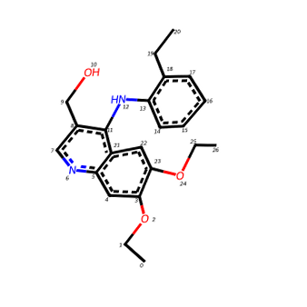 CCOc1cc2ncc(CO)c(Nc3ccccc3CC)c2cc1OCC